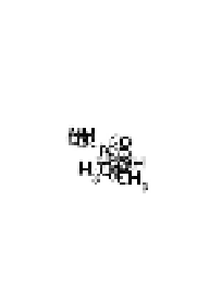 C[C@@H]1CC[C@H](C)N1C(=O)N[C@@H](CCN(CCCCc1ccc2c(n1)NCCC2)CCOc1ccccc1)C(=O)O